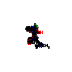 C[C@@H]1N(c2cc(C#Cc3cn(C)nc3C3CC3)cnc2O[C@H]2C[C@@H](C(=O)O)N(c3nc(C(F)F)nc4c3oc3ccccc34)C2)CCOC12COC2